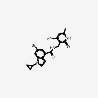 CCCc1cc(C)[nH]c(=O)c1CNC(=O)c1cc(Br)cc2c1ccn2C1CC1